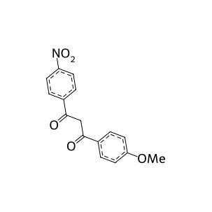 COc1ccc(C(=O)CC(=O)c2ccc([N+](=O)[O-])cc2)cc1